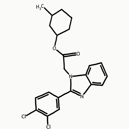 CC1CCCC(OC(=O)Cn2c(-c3ccc(Cl)c(Cl)c3)nc3ccccc32)C1